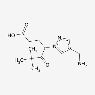 CC(C)(C)C(=O)C(CCC(=O)O)n1cc(CN)cn1